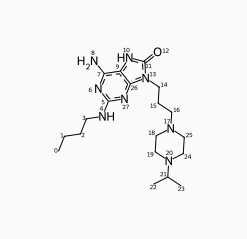 CCCCNc1nc(N)c2[nH]c(=O)n(CCCN3CCN(C(C)C)CC3)c2n1